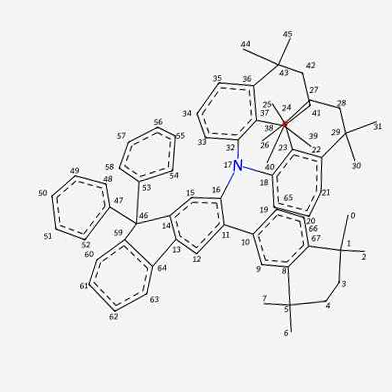 CC1(C)CCC(C)(C)c2cc(-c3cc4c(cc3N(c3cccc5c3C(C)(C)CCC5(C)C)c3cccc5c3C(C)(C)CCC5(C)C)C(c3ccccc3)(c3ccccc3)c3ccccc3-4)ccc21